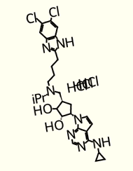 CC(C)N(CCCCc1nc2cc(Cl)c(Cl)cc2[nH]1)C[C@H]1C[C@@H](n2ccc3c(NC4CC4)ncnc32)[C@H](O)C1O.Cl.Cl.Cl